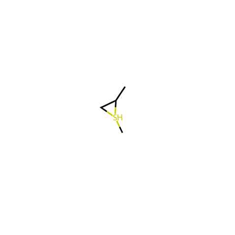 CC1C[SH]1C